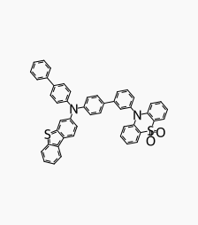 O=S1(=O)c2ccccc2N(c2cccc(-c3ccc(N(c4ccc(-c5ccccc5)cc4)c4ccc5c(c4)sc4ccccc45)cc3)c2)c2ccccc21